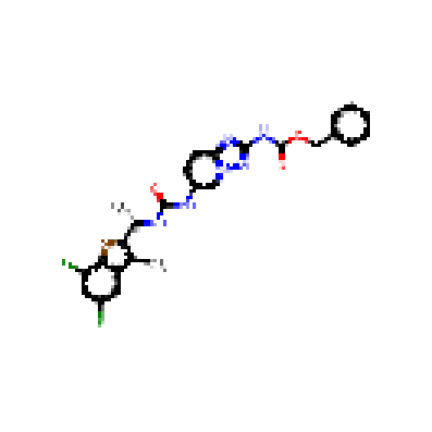 Cc1c([C@@H](NC(=O)Nc2ccc3nc(NC(=O)OCc4ccccc4)nn3c2)C(F)(F)F)sc2c(F)cc(F)cc12